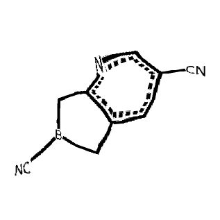 N#CB1Cc2cc(C#N)cnc2C1